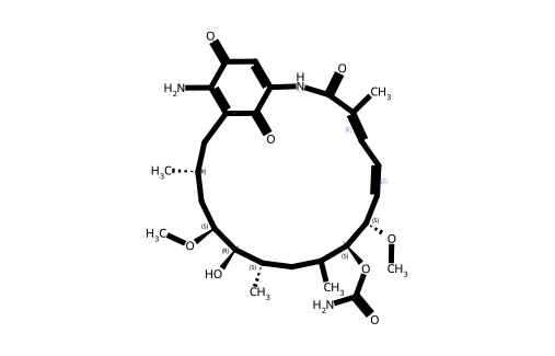 CO[C@H]1/C=C\C=C(/C)C(=O)NC2=CC(=O)C(N)=C(C[C@@H](C)C[C@H](OC)[C@H](O)[C@@H](C)CC(C)[C@@H]1OC(N)=O)C2=O